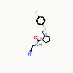 N#CCNC(=O)[C@H]1CCC[C@@H]1CSc1ccc(F)cc1